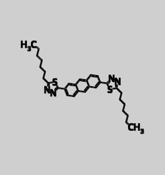 CCCCCCCc1nnc(-c2ccc3cc4cc(-c5nnc(CCCCCCC)s5)ccc4cc3c2)s1